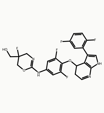 OCC1(F)CN=C(Nc2cc(F)c(OC3CC=Nc4[nH]cc(-c5cc(F)ccc5F)c43)c(F)c2)OC1